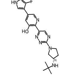 CC(C)(C)N[C@H]1CCN(c2ncc(-c3ncc(-c4c[nH]nc4F)cc3O)nn2)C1